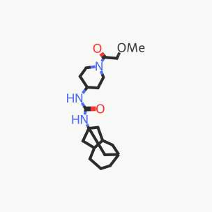 COCC(=O)N1CCC(NC(=O)NC23CC4CCCC(C2)C(C4)C3)CC1